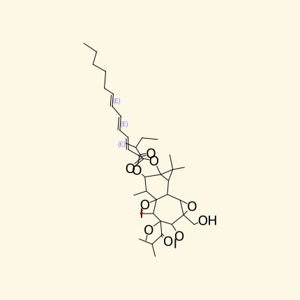 CCCCC/C=C/C=C/C=C/C(=O)OC1C(C)C2(OI)C(C3OC3(CO)C(OI)C(OC)(C(=O)C(C)C)C2C)C2C(C)(C)C12OC(=O)C(C)CC